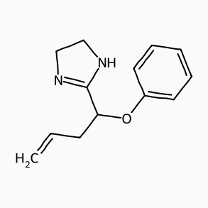 C=CCC(Oc1ccccc1)C1=NCCN1